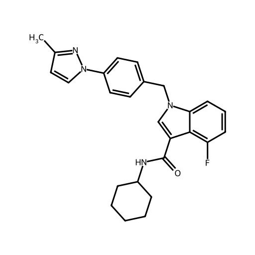 Cc1ccn(-c2ccc(Cn3cc(C(=O)NC4CCCCC4)c4c(F)cccc43)cc2)n1